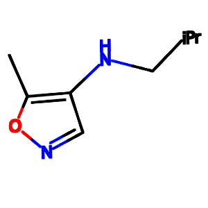 Cc1oncc1NCC(C)C